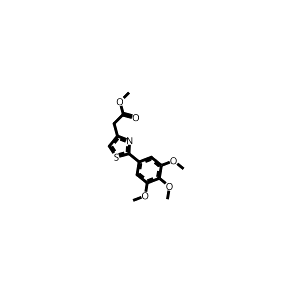 COC(=O)Cc1csc(-c2cc(OC)c(OC)c(OC)c2)n1